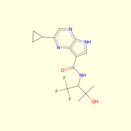 CC(C)(O)C(NC(=O)c1c[nH]c2ncc(C3CC3)nc12)C(F)(F)F